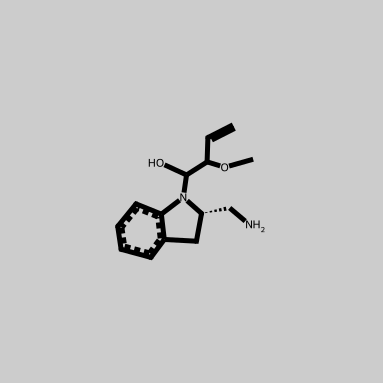 C=CC(OC)C(O)N1c2ccccc2C[C@H]1CN